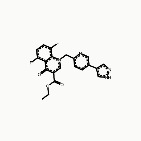 CCOC(=O)c1cn(Cc2ccc(-c3cn[nH]c3)cn2)c2c(F)ccc(F)c2c1=O